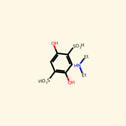 CCNCC.O=S(=O)(O)c1cc(O)c(S(=O)(=O)O)cc1O